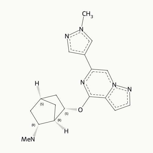 CN[C@@H]1C[C@@H]2C[C@H]1[C@@H](Oc1nc(-c3cnn(C)c3)cn3nccc13)C2